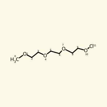 COCCOCCOCCOCl